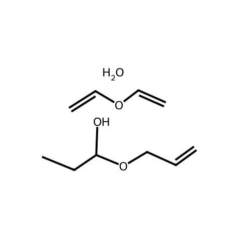 C=CCOC(O)CC.C=COC=C.O